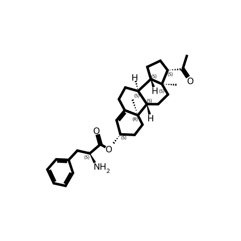 CC(=O)[C@H]1CC[C@H]2[C@@H]3CCC4=C[C@@H](OC(=O)[C@@H](N)Cc5ccccc5)CC[C@]4(C)[C@H]3CC[C@]12C